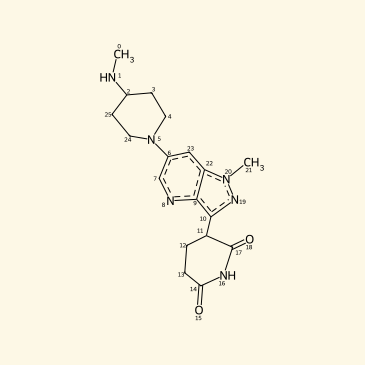 CNC1CCN(c2cnc3c(C4CCC(=O)NC4=O)nn(C)c3c2)CC1